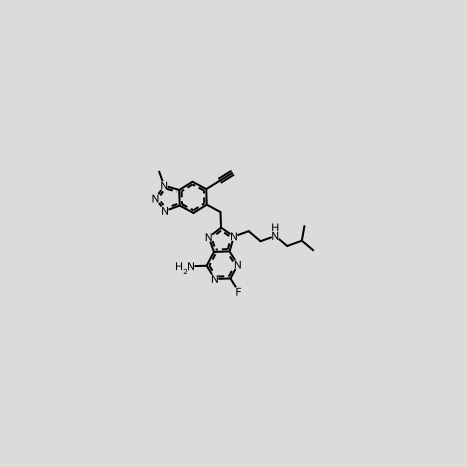 C#Cc1cc2c(cc1Cc1nc3c(N)nc(F)nc3n1CCNCC(C)C)nnn2C